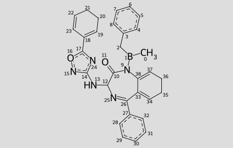 CB(Cc1ccccc1)N1C(=O)C(Nc2noc(C3=CCCC=C3)n2)N=C(c2ccccc2)C2=CCCC=C21